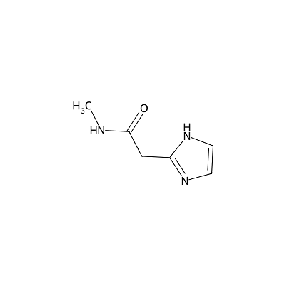 CNC(=O)Cc1ncc[nH]1